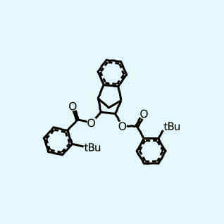 CC(C)(C)c1ccccc1C(=O)OC1C2CC(c3ccccc32)C1OC(=O)c1ccccc1C(C)(C)C